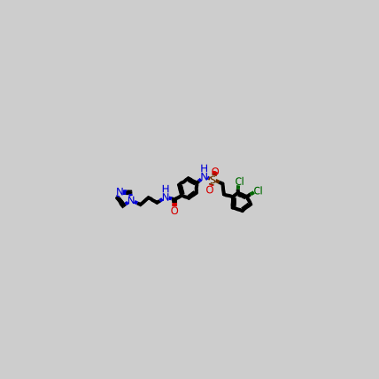 O=C(NCCCn1ccnc1)c1ccc(NS(=O)(=O)CCc2cccc(Cl)c2Cl)cc1